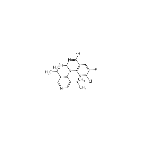 [2H]C1=NC([2H])N(c2c(C(C)C)cncc2C(C)C)c2nc(Cl)c(F)cc21